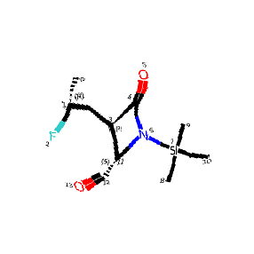 C[C@@H](F)[C@H]1C(=O)N([Si](C)(C)C)[C@@H]1C=O